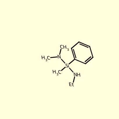 CCN[Si](C)(c1ccccc1)N(C)C